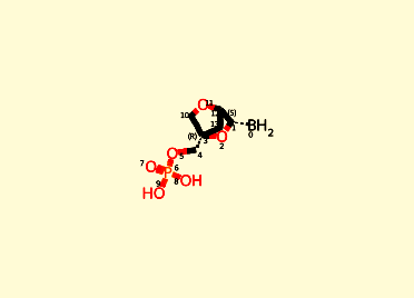 B[C@@H]1O[C@@]2(COP(=O)(O)O)COC1C2